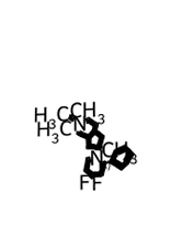 CC(C)(C)N1CCC2CC(C)(N3CCC(F)(F)C[C@@H]3c3ccccc3)CC2C1